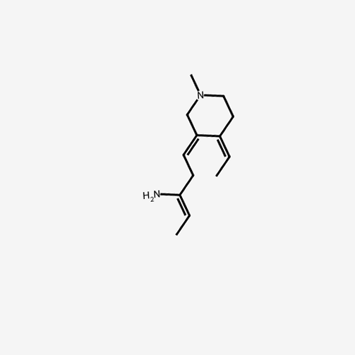 C/C=C(\N)C/C=C1/CN(C)CC/C1=C/C